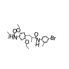 CCOc1cc(NC(=O)C(C)C)c(OCC)cc1CC(C)C(=O)Nc1ccc(Br)cc1C